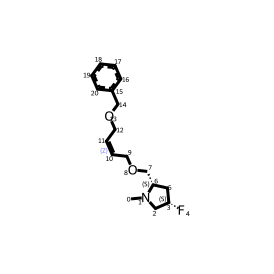 CN1C[C@@H](F)C[C@H]1COC/C=C\COCc1ccccc1